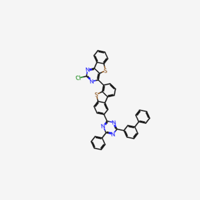 Clc1nc(-c2cccc3c2sc2ccc(-c4nc(-c5ccccc5)nc(-c5cccc(-c6ccccc6)c5)n4)cc23)c2sc3ccccc3c2n1